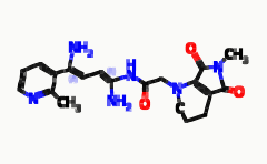 Cc1ncccc1/C(N)=C/C=C(\N)NC(=O)CN1CCCC2=C1C(=O)N(C)C2=O